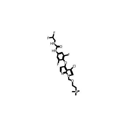 C[Si](C)(C)CCOCn1cc(Cl)c2c(Oc3c(F)cc(NC(=O)NCC(F)F)cc3F)ccnc21